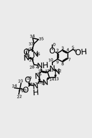 COc1cc(CO)ccc1Cn1ncc2nc(NC(=O)OC(C)(C)C)nc(NCc3noc(C4CC4)n3)c21